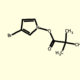 CC(C)(C)C(=O)On1ccc(Br)c1